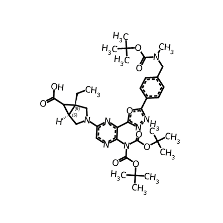 CC[C@@]12CN(c3cnc(N(C(=O)OC(C)(C)C)C(=O)OC(C)(C)C)c(-c4nnc(-c5ccc(CN(C)C(=O)OC(C)(C)C)cc5)o4)n3)C[C@H]1C2C(=O)O